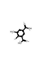 Cc1cc(C(=O)O)cc(C(=O)O)c1I